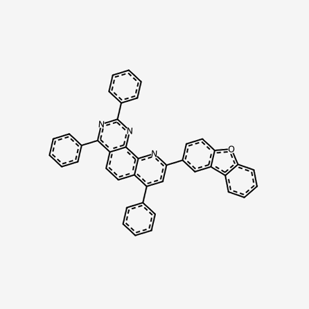 c1ccc(-c2nc(-c3ccccc3)c3ccc4c(-c5ccccc5)cc(-c5ccc6oc7ccccc7c6c5)nc4c3n2)cc1